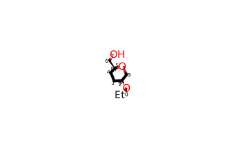 CCO[C@@H]1CC[C@@H](CO)OC1